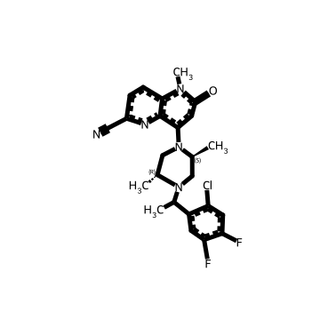 CC(c1cc(F)c(F)cc1Cl)N1C[C@H](C)N(c2cc(=O)n(C)c3ccc(C#N)nc23)C[C@H]1C